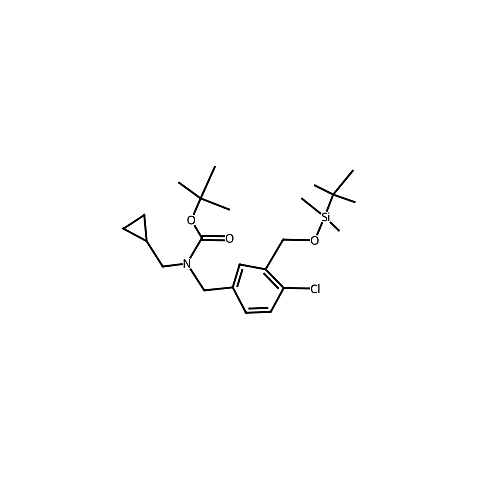 CC(C)(C)OC(=O)N(Cc1ccc(Cl)c(CO[Si](C)(C)C(C)(C)C)c1)CC1CC1